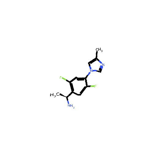 Cc1cn(-c2cc(F)c([C@H](C)N)cc2F)cn1